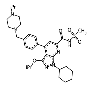 CC(C)Oc1nn(C2CCCCC2)c2nc(C(=O)NS(C)(=O)=O)cc(-c3ccc(CN4CCN(C(C)C)CC4)cc3)c12